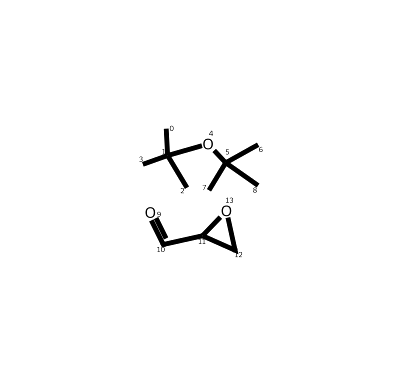 CC(C)(C)OC(C)(C)C.O=CC1CO1